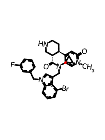 Cn1ccc([C@@H]2CCNC[C@H]2C(=O)N(Cc2cn(Cc3cccc(F)c3)c3cccc(Br)c23)C2CC2)cc1=O